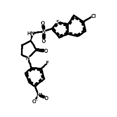 O=C1[C@H](NS(=O)(=O)c2cc3ccc(Cl)cc3s2)CCN1c1ccc([N+](=O)[O-])cc1F